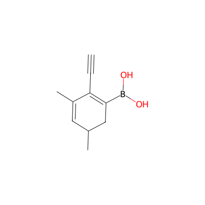 C#CC1=C(B(O)O)CC(C)C=C1C